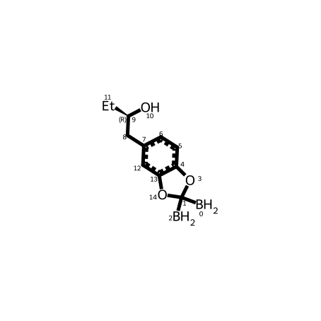 BC1(B)Oc2ccc(C[C@H](O)CC)cc2O1